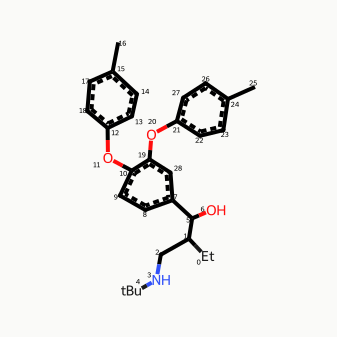 CCC(CNC(C)(C)C)C(O)c1ccc(Oc2ccc(C)cc2)c(Oc2ccc(C)cc2)c1